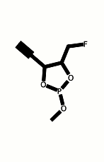 C#CC1OP(OC)OC1CF